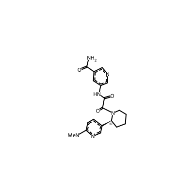 CNc1ccc([C@@H]2CCCCN2C(=O)C(=O)Nc2cncc(C(N)=O)c2)cn1